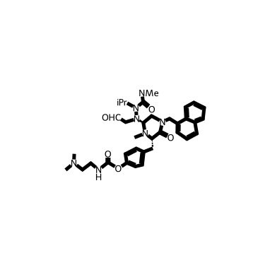 CNC(=O)N(C(C)C)N(CC=O)[C@H]1CN(Cc2cccc3ccccc23)C(=O)[C@H](Cc2ccc(OC(=O)NCCN(C)C)cc2)N1C